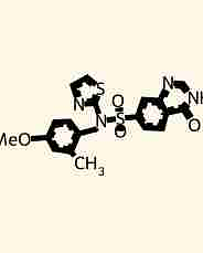 COc1ccc(CN(c2nccs2)S(=O)(=O)c2ccc3c(=O)[nH]cnc3c2)c(C)c1